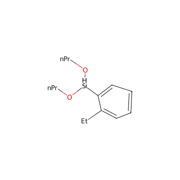 CCCO[SiH](OCCC)c1ccccc1CC